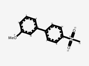 COc1cccc(-c2ccc(S(C)(=O)=O)cc2)c1